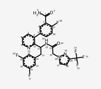 NC(=O)c1cc(-c2cccnc2C(Cc2cc(F)cc(F)c2)NC(=O)Cn2ccc(C(F)(F)F)n2)ccc1F